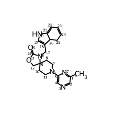 Cc1cncc(N2CCC3(CC2)COC(=O)N3CC2=CNC3=CC=CCC23)n1